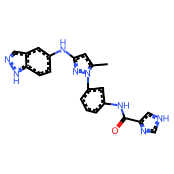 Cc1cc(Nc2ccc3[nH]ncc3c2)nn1-c1cccc(NC(=O)c2c[nH]cn2)c1